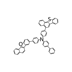 c1ccc(-c2ccc(N(c3ccc(-c4ccc5oc6c7ccccc7ccc6c5c4)cc3)c3ccc(-c4cc5c6ccccc6sc5c5ccccc45)cc3)cc2)cc1